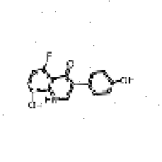 O=c1c(-c2ccc(O)cc2)c[nH]c2c(O)ccc(F)c12